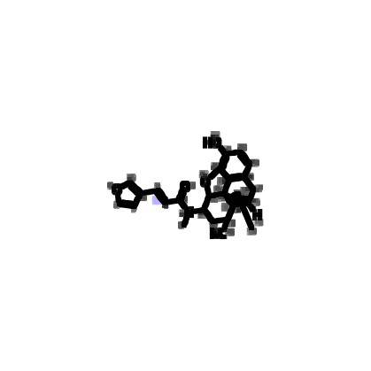 CN(C(=O)/C=C/c1ccoc1)C1CC[C@@]2(O)[C@H]3Cc4ccc(O)c5c4[C@@]2(CC(C#N)N3C)C1O5